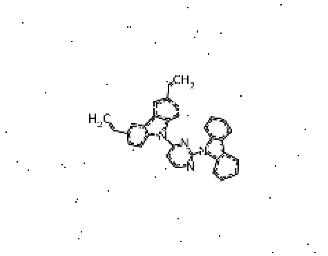 C=Cc1ccc2c(c1)c1cc(C=C)ccc1n2-c1ccnc(-n2c3ccccc3c3ccccc32)n1